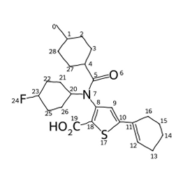 CC1CCC(C(=O)N(c2cc(C3=CCCCC3)sc2C(=O)O)C2CCC(F)CC2)CC1